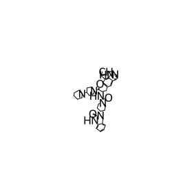 CCc1cc(CC(NC(=O)N2CCC(N3Cc4ccccc4NC3=O)CC2)C(=O)N2CCC(N3CCCCC3)CC2)cc2cn[nH]c12